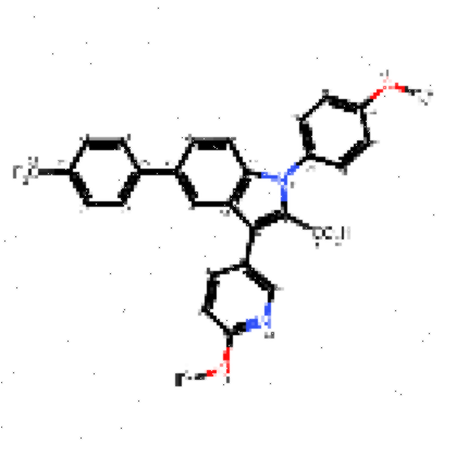 CC(C)Oc1ccc(-c2c(C(=O)O)n(-c3ccc(OC(F)(F)F)cc3)c3ccc(-c4ccc(C(F)(F)F)cc4)cc23)cn1